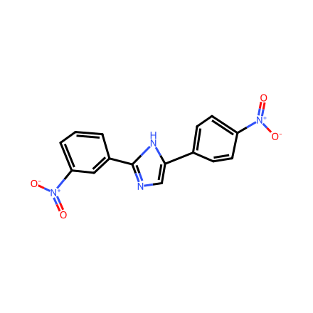 O=[N+]([O-])c1ccc(-c2cnc(-c3cccc([N+](=O)[O-])c3)[nH]2)cc1